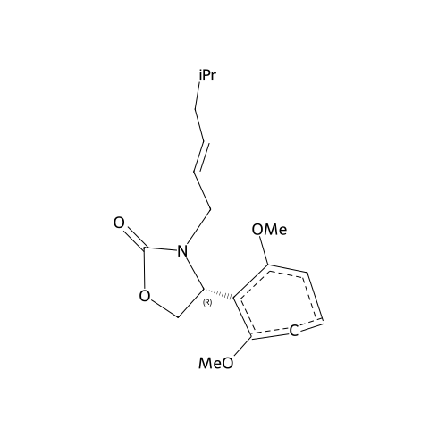 COc1cccc(OC)c1[C@@H]1COC(=O)N1CC=CCC(C)C